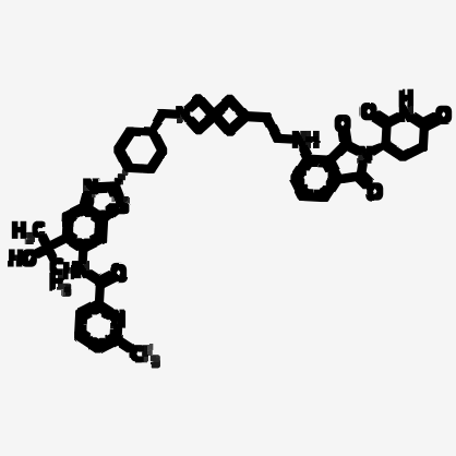 CC(C)(O)c1cc2nc([C@H]3CC[C@H](CN4CC5(CC(CCNc6cccc7c6C(=O)N([C@@H]6CCC(=O)NC6=O)C7=O)C5)C4)CC3)sc2cc1NC(=O)c1cccc(C(F)(F)F)n1